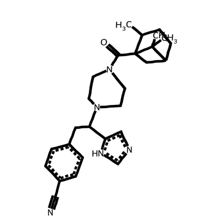 CC1CCC2CC1(C(=O)N1CCN(C(Cc3ccc(C#N)cc3)c3cnc[nH]3)CC1)C2(C)C